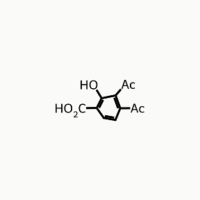 CC(=O)c1ccc(C(=O)O)c(O)c1C(C)=O